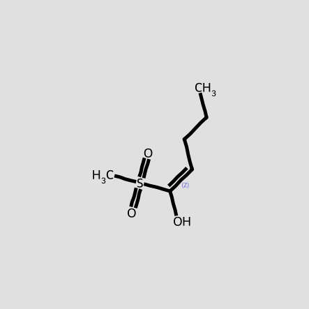 CCC/C=C(/O)S(C)(=O)=O